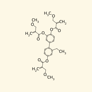 C=C(COC)C(=O)Oc1ccc(-c2ccc(OC(=O)C(=C)COC)c(OC(=O)C(=C)COC)c2)c(CC)c1